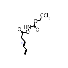 C=C/C=C/CC(=O)ONC(=O)OCC(Cl)(Cl)Cl